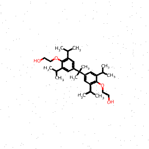 CC(C)c1cc(C(C)(C)c2cc(C(C)C)c(OCCO)c(C(C)C)c2)cc(C(C)C)c1OCCO